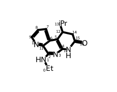 CCNc1nc2c(c3cccnc13)C(C(C)C)CC(=O)N2